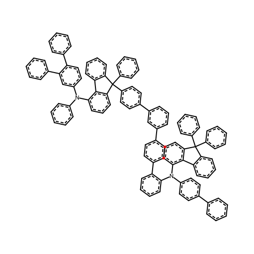 c1ccc(-c2ccc(N(c3ccccc3-c3ccc(-c4cccc(-c5ccc(C6(c7ccccc7)c7ccccc7-c7c(N(c8ccccc8)c8ccc(-c9ccccc9)c(-c9ccccc9)c8)cccc76)cc5)c4)cc3)c3cccc4c3-c3ccccc3C4(c3ccccc3)c3ccccc3)cc2)cc1